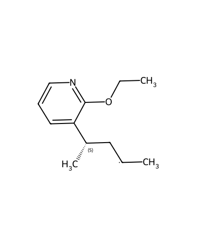 C[CH]C[C@H](C)c1cccnc1OCC